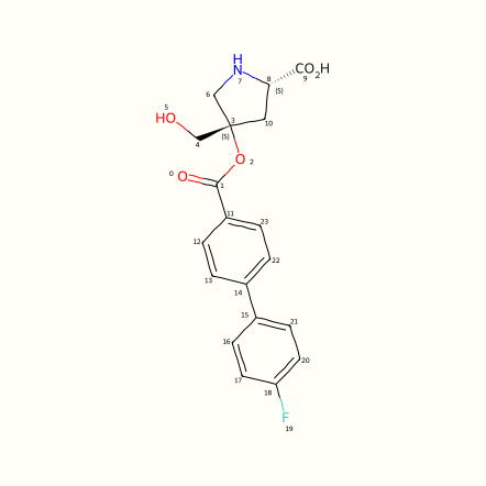 O=C(O[C@]1(CO)CN[C@H](C(=O)O)C1)c1ccc(-c2ccc(F)cc2)cc1